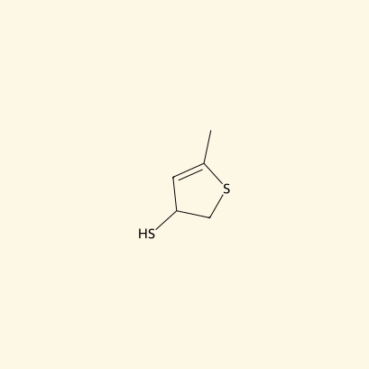 CC1=CC(S)CS1